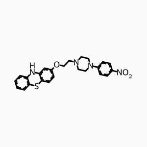 O=[N+]([O-])c1ccc(N2CCN(CCOc3ccc4c(c3)Nc3ccccc3S4)CC2)cc1